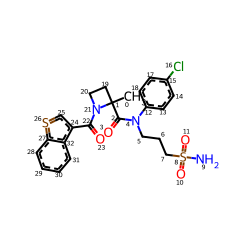 CC1(C(=O)N(CCCS(N)(=O)=O)c2ccc(Cl)cc2)CCN1C(=O)c1csc2ccccc12